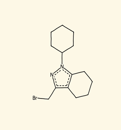 BrCc1nn(C2CCCCC2)c2c1CCCC2